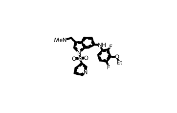 CCOc1c(F)ccc(Nc2ccc3c(CNC)cn(S(=O)(=O)c4cccnc4)c3c2)c1F